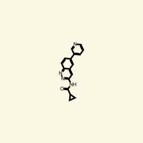 O=C(Nc1cc2cc(-c3cccnc3)ccc2nn1)C1CC1